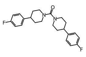 O=C(N1CCC(c2ccc(F)cc2)CC1)N1CCC(c2ccc(F)cc2)CC1